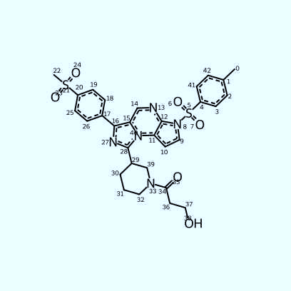 Cc1ccc(S(=O)(=O)n2ccc3c2ncc2c(-c4ccc(S(C)(=O)=O)cc4)nc(C4CCCN(C(=O)CCO)C4)n23)cc1